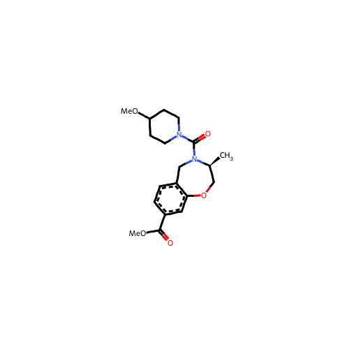 COC(=O)c1ccc2c(c1)OC[C@H](C)N(C(=O)N1CCC(OC)CC1)C2